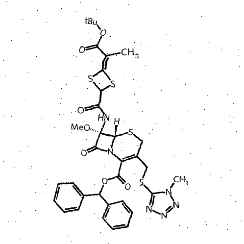 CO[C@@]1(NC(=O)C2SC(=C(C)C(=O)OC(C)(C)C)S2)C(=O)N2C(C(=O)OC(c3ccccc3)c3ccccc3)=C(CSc3nnnn3C)CS[C@H]21